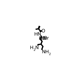 Br.Br.C=C(C)C(=O)NCCCC(CN)CCN